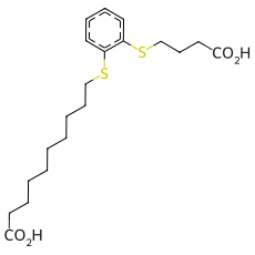 O=C(O)CCCCCCCCCSc1ccccc1SCCCC(=O)O